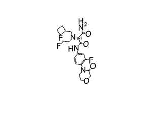 NC(=O)[C@H](C(=O)Nc1ccc(N2CCOCC2=O)c(F)c1)N(CC(F)F)CC1CCC1